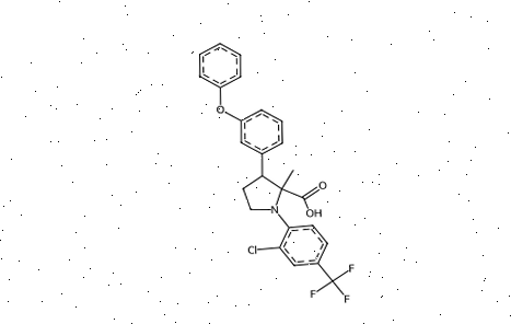 CC1(C(=O)O)C(c2cccc(Oc3ccccc3)c2)CCN1c1ccc(C(F)(F)F)cc1Cl